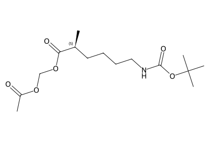 CC(=O)OCOC(=O)[C@@H](C)CCCCNC(=O)OC(C)(C)C